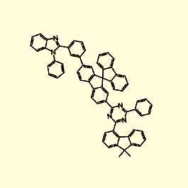 CC1(C)c2ccccc2-c2c(-c3nc(-c4ccccc4)nc(-c4ccc5c(c4)C4(c6ccccc6-c6ccccc64)c4cc(-c6cccc(-c7nc8ccccc8n7-c7ccccc7)c6)ccc4-5)n3)cccc21